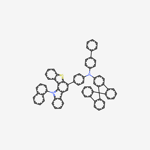 c1ccc(-c2ccc(N(c3ccc(-c4cc5c6ccccc6n(-c6cccc7ccccc67)c5c5c4sc4ccccc45)cc3)c3ccc4c(c3)C3(c5ccccc5-c5ccccc53)c3ccccc3-4)cc2)cc1